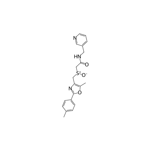 Cc1ccc(-c2nc(C[S+]([O-])CC(=O)NCc3cccnc3)c(C)o2)cc1